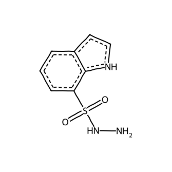 NNS(=O)(=O)c1cccc2cc[nH]c12